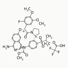 COC(=O)Nc1ccc(S(=O)(=O)C(C)C)c([C@H]2CCCN2C(=O)[C@H](Oc2ccc3c(N)nccc3c2)c2cc(OC)c(OC)cc2F)c1.O=C(O)C(F)(F)F